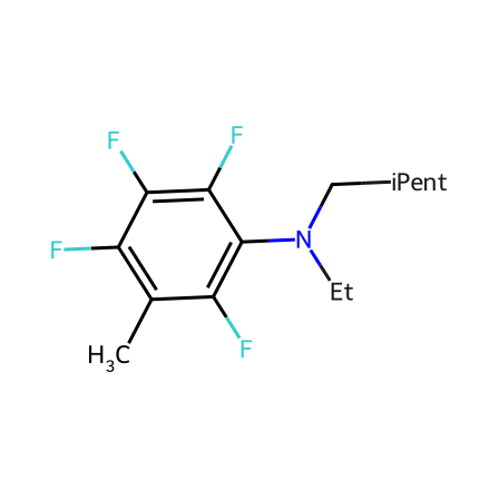 CCCC(C)CN(CC)c1c(F)c(C)c(F)c(F)c1F